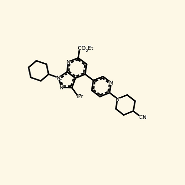 CCOC(=O)c1cc(-c2ccc(N3CCC(C#N)CC3)nc2)c2c(C(C)C)nn(C3CCCCC3)c2n1